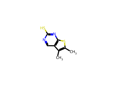 Cc1sc2nc(S)ncc2c1C